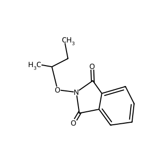 CCC(C)ON1C(=O)c2ccccc2C1=O